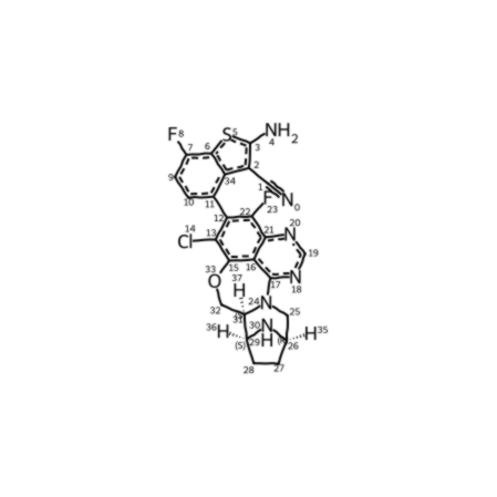 N#Cc1c(N)sc2c(F)ccc(-c3c(Cl)c4c5c(ncnc5c3F)N3C[C@H]5CC[C@H](N5)[C@H]3CO4)c12